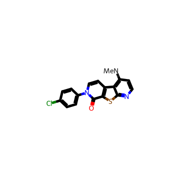 CNc1ccnc2sc3c(=O)n(-c4ccc(Cl)cc4)ccc3c12